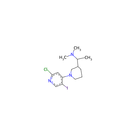 CC(C1CCCN(c2cc(Cl)ncc2I)C1)N(C)C